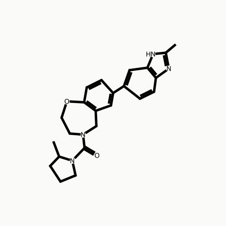 Cc1nc2ccc(-c3ccc4c(c3)CN(C(=O)N3CCCC3C)CCO4)cc2[nH]1